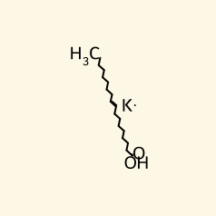 CCCCCCCCC=CCCCCCCCC(=O)O.[K]